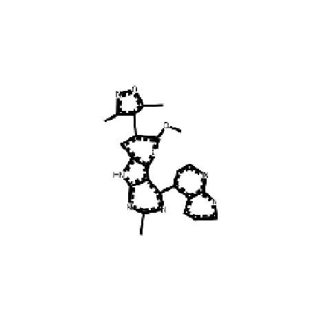 COc1cc2c(cc1-c1c(C)noc1C)[nH]c1nc(C)nc(-c3ccnc4ncccc34)c12